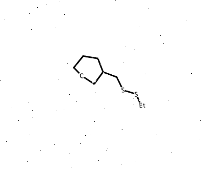 CCSSCC1CCCCC1